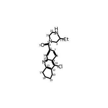 CCC1CN(C(=O)c2ccc3c(Cl)c4c(nc3c2)CCCC4)CCN1